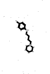 Ic1ccc(OCCCCN2CCCCC2)cc1